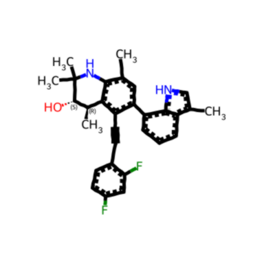 Cc1cc(-c2cccc3c(C)c[nH]c23)c(C#Cc2ccc(F)cc2F)c2c1NC(C)(C)[C@@H](O)[C@@H]2C